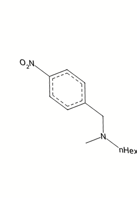 CCCCCCN(C)Cc1ccc([N+](=O)[O-])cc1